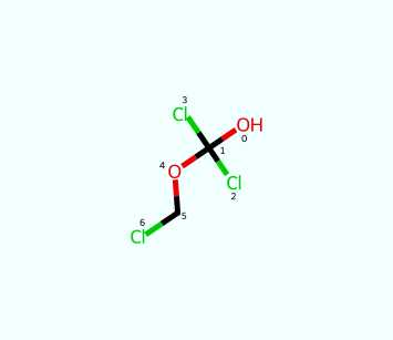 OC(Cl)(Cl)OCCl